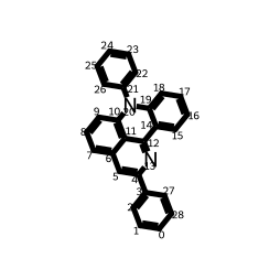 c1ccc(-c2cc3cccc4c3c(n2)-c2ccccc2N4c2ccccc2)cc1